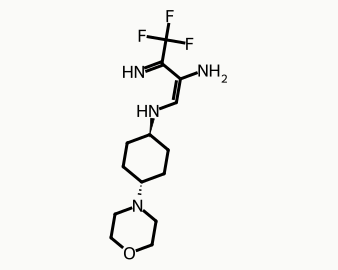 N=C(/C(N)=C\N[C@H]1CC[C@H](N2CCOCC2)CC1)C(F)(F)F